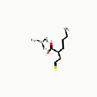 CCCCC(CC=S)C(=O)[O-].[CH3][Sn+]([CH3])[CH3]